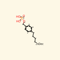 CCCCCCCCCCCCCCc1ccc(COP(=O)(O)O)cc1